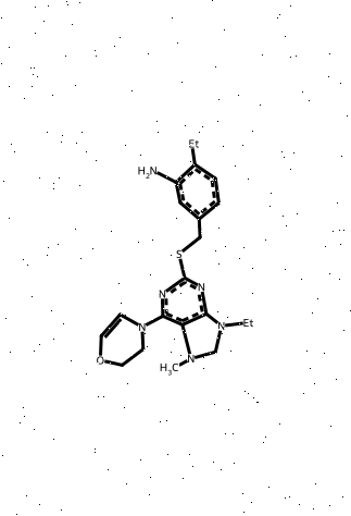 CCc1ccc(CSc2nc(N3C=COCC3)c3c(n2)N(CC)CN3C)cc1N